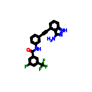 Nc1n[nH]c2cccc(C#Cc3cccc(NC(=O)c4cc(F)cc(C(F)(F)F)c4)c3)c12